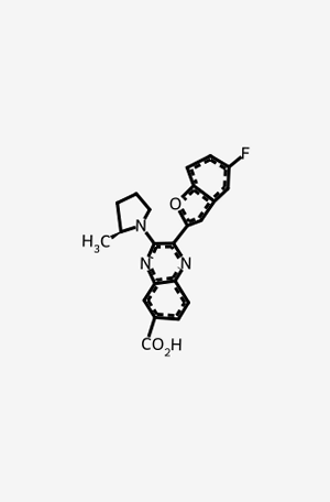 C[C@H]1CCCN1c1nc2cc(C(=O)O)ccc2nc1-c1cc2cc(F)ccc2o1